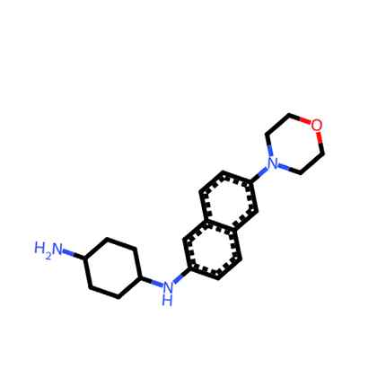 NC1CCC(Nc2ccc3cc(N4CCOCC4)ccc3c2)CC1